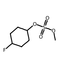 COS(=O)(=O)OC1CCC(F)CC1